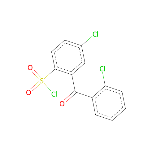 O=C(c1ccccc1Cl)c1cc(Cl)ccc1S(=O)(=O)Cl